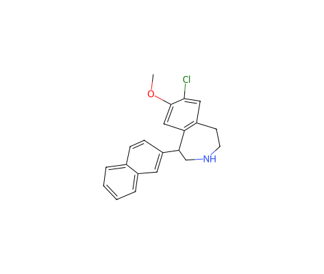 COc1cc2c(cc1Cl)CCNCC2c1ccc2ccccc2c1